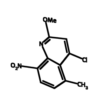 COc1cc(Cl)c2c(C)ccc([N+](=O)[O-])c2n1